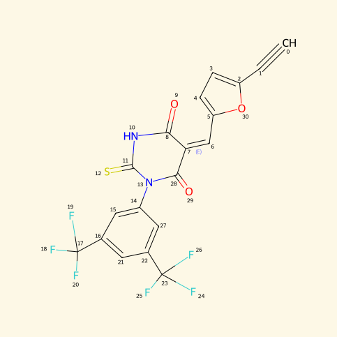 C#Cc1ccc(/C=C2\C(=O)NC(=S)N(c3cc(C(F)(F)F)cc(C(F)(F)F)c3)C2=O)o1